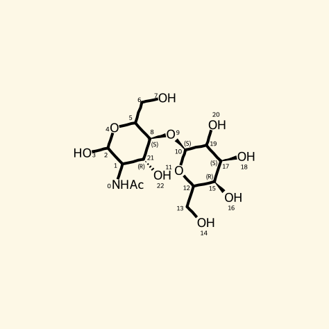 CC(=O)NC1C(O)OC(CO)[C@@H](O[C@@H]2OC(CO)[C@H](O)[C@H](O)C2O)[C@@H]1O